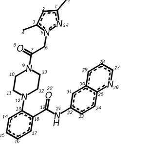 Cc1cc(C)n(CC(=O)N2CCN(c3ccccc3C(=O)Nc3ccc4ncccc4c3)CC2)n1